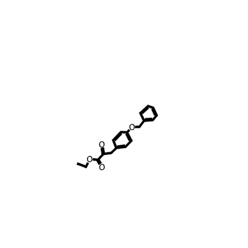 CCOC(=O)C(=O)Cc1ccc(OCc2ccccc2)cc1